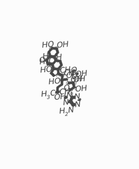 C[C@@H]([C@H]1CC[C@@]2(O)C3=CC(=O)[C@@H]4C[C@@H](O)[C@@H](O)C[C@]4(C)[C@H]3CC[C@]12C)C(O)(CCC(C)(C)O)C(OP(=O)(O)O)[C@H]1O[C@@H](n2cnc3c(N)ncnc32)[C@H](O)[C@@H]1O